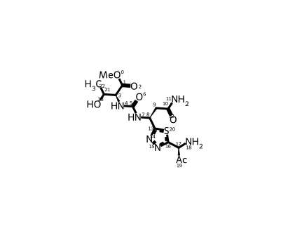 COC(=O)[C@@H](NC(=O)N[C@@H](CC(N)=O)c1nnc([C@@H](N)C(C)=O)s1)C(C)O